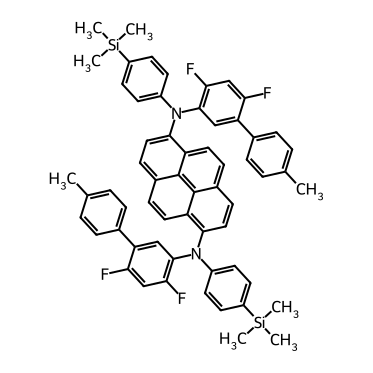 Cc1ccc(-c2cc(N(c3ccc([Si](C)(C)C)cc3)c3ccc4ccc5c(N(c6ccc([Si](C)(C)C)cc6)c6cc(-c7ccc(C)cc7)c(F)cc6F)ccc6ccc3c4c65)c(F)cc2F)cc1